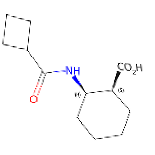 O=C(N[C@@H]1CCCC[C@@H]1C(=O)O)C1CCC1